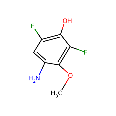 COc1c(N)cc(F)c(O)c1F